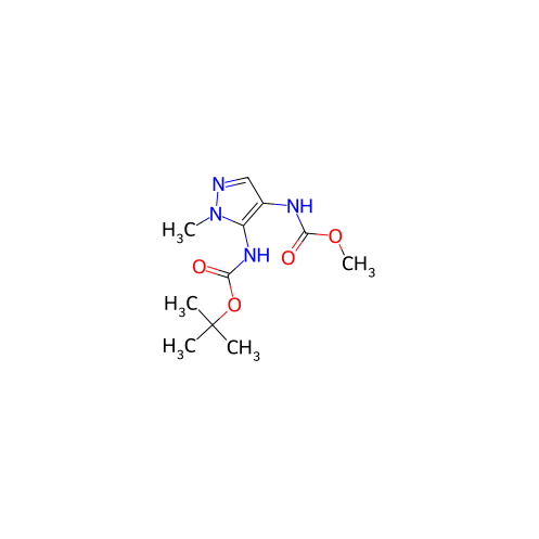 COC(=O)Nc1cnn(C)c1NC(=O)OC(C)(C)C